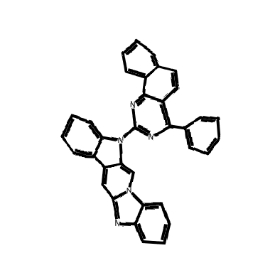 c1ccc(-c2nc(-n3c4ccccc4c4cc5nc6ccccc6n5cc43)nc3c2ccc2ccccc23)cc1